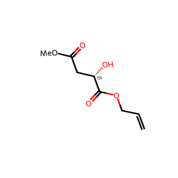 C=CCOC(=O)[C@@H](O)CC(=O)OC